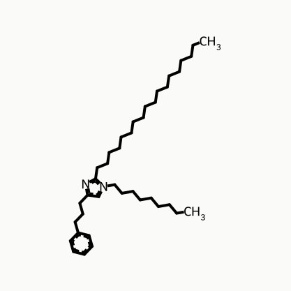 CCCCCCCCCCCCCCCCCCc1nc(CCCc2ccccc2)cn1CCCCCCCCC